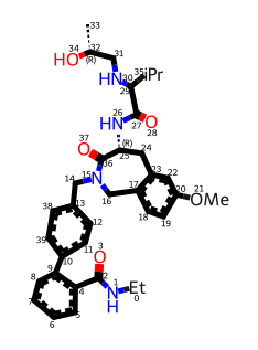 CCNC(=O)c1ccccc1-c1ccc(CN2Cc3ccc(OC)cc3C[C@@H](NC(=O)C(NC[C@@H](C)O)C(C)C)C2=O)cc1